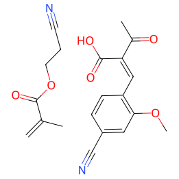 C=C(C)C(=O)OCCC#N.COc1cc(C#N)ccc1C=C(C(C)=O)C(=O)O